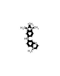 C=C1N(C)c2ccc(Nc3ccc4c(c3)OCCN4C)cc2N1C